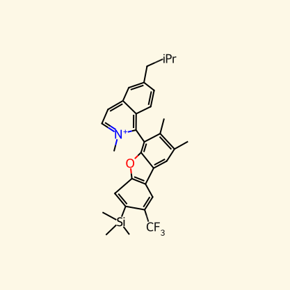 Cc1cc2c(oc3cc([Si](C)(C)C)c(C(F)(F)F)cc32)c(-c2c3ccc(CC(C)C)cc3cc[n+]2C)c1C